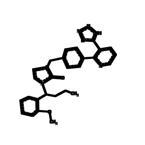 CCCC(c1ccccc1OC)n1ccn(Cc2ccc(-c3ncccc3-c3nnn[nH]3)cc2)c1=O